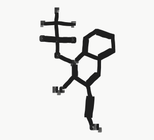 CC#Cc1cc2ccccc2[n+](OS(=O)(=O)C(F)(F)F)c1C